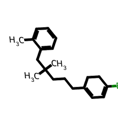 Cc1ccccc1CC(C)(C)CCCC1=CC=C(F)CC1